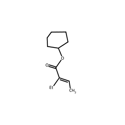 CC=C(CC)C(=O)OC1CCCCC1